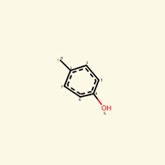 [CH]c1ccc(O)cc1